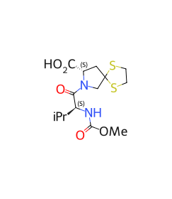 COC(=O)N[C@H](C(=O)N1CC2(C[C@H]1C(=O)O)SCCS2)C(C)C